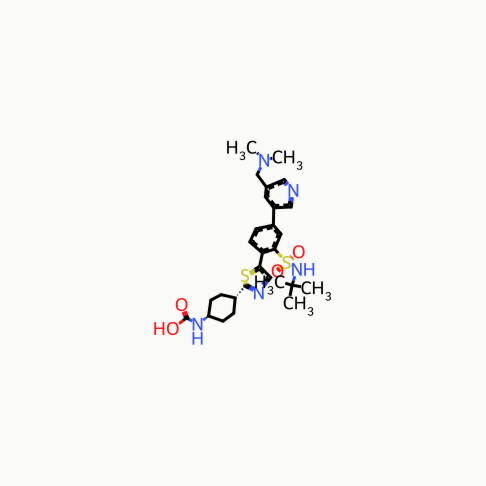 CN(C)Cc1cncc(-c2ccc(-c3cnc([C@H]4CC[C@H](NC(=O)O)CC4)s3)c(S(=O)(=O)NC(C)(C)C)c2)c1